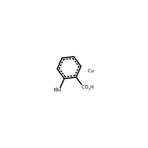 CC(C)(C)c1ccccc1C(=O)O.[Cu]